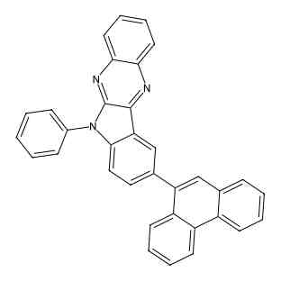 c1ccc(-n2c3ccc(-c4cc5ccccc5c5ccccc45)cc3c3nc4ccccc4nc32)cc1